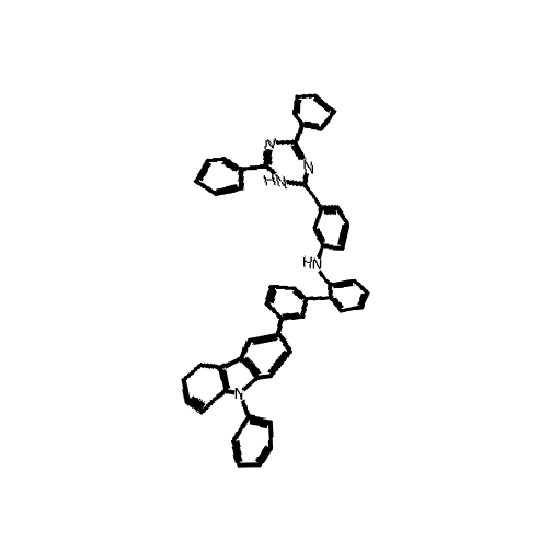 C1=Cc2c(c3cc(-c4cccc(-c5ccccc5Nc5cccc(C6N=C(c7ccccc7)N=C(c7ccccc7)N6)c5)c4)ccc3n2-c2ccccc2)CC1